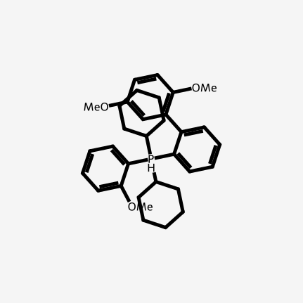 COc1ccc(OC)c(-c2ccccc2[PH](c2ccccc2OC)(C2CCCCC2)C2CCCCC2)c1